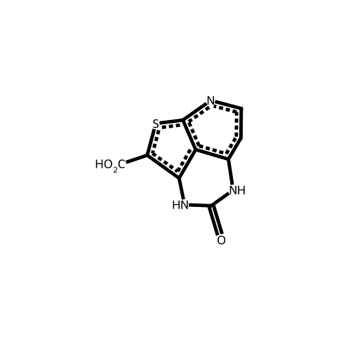 O=C1Nc2ccnc3sc(C(=O)O)c(c23)N1